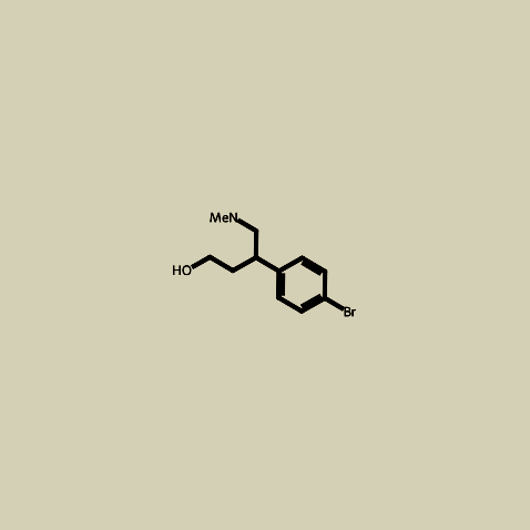 CNCC(CCO)c1ccc(Br)cc1